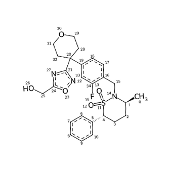 C[C@H]1CC[C@H](c2ccccc2)S(=O)(=O)N1Cc1ccc(C2(c3noc(CO)n3)CCOCC2)cc1F